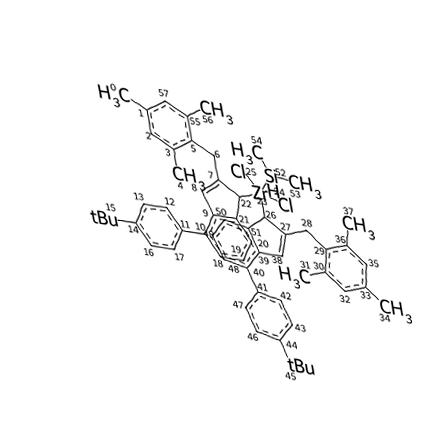 Cc1cc(C)c(CC2=Cc3c(-c4ccc(C(C)(C)C)cc4)cccc3[CH]2[Zr]([Cl])([Cl])([CH]2C(Cc3c(C)cc(C)cc3C)=Cc3c(-c4ccc(C(C)(C)C)cc4)cccc32)[SiH](C)C)c(C)c1